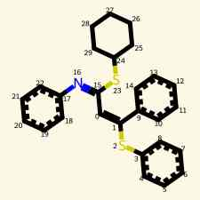 C(=C(Sc1ccccc1)c1ccccc1)C(=Nc1ccccc1)SC1CCCCC1